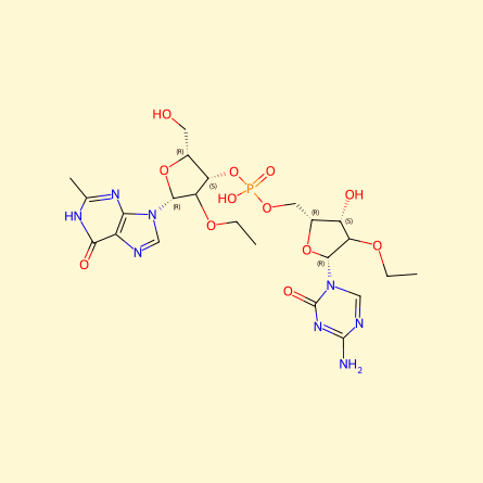 CCOC1[C@@H](O)[C@@H](COP(=O)(O)O[C@@H]2C(OCC)[C@H](n3cnc4c(=O)[nH]c(C)nc43)O[C@@H]2CO)O[C@H]1n1cnc(N)nc1=O